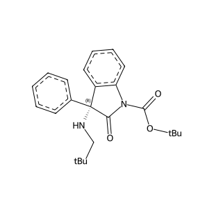 CC(C)(C)CN[C@@]1(c2ccccc2)C(=O)N(C(=O)OC(C)(C)C)c2ccccc21